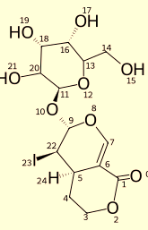 O=C1OCC[C@@H]2C1=CO[C@@H](O[C@@H]1OC(CO)[C@@H](O)[C@@H](O)C1O)[C@@H]2I